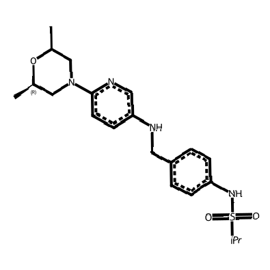 CC1CN(c2ccc(NCc3ccc(NS(=O)(=O)C(C)C)cc3)cn2)C[C@@H](C)O1